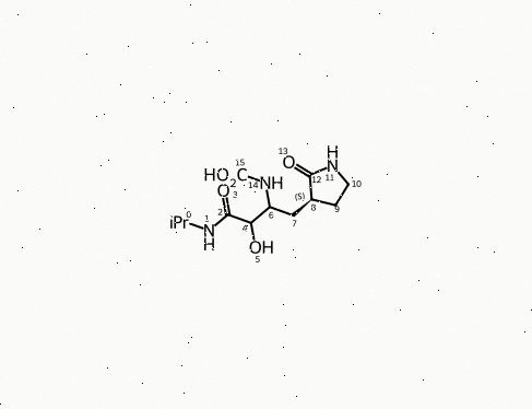 CC(C)NC(=O)C(O)C(C[C@@H]1CCNC1=O)NC(=O)O